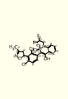 CC1=NOC(c2c(Cl)ccc(C3=C(O)c4ncccc4N(CC(F)F)S3(=O)=O)c2Cl)C1